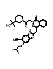 CC(C)(O)C1CCCN(C(=O)Cn2nc(Cc3nc4cc(OCC(F)F)c(C#N)cc4[nH]3)c3ccccc3c2=O)C1